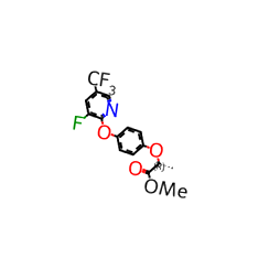 COC(=O)[C@@H](C)Oc1ccc(Oc2ncc(C(F)(F)F)cc2F)cc1